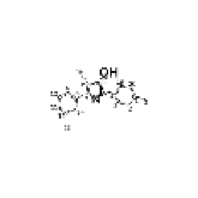 Cc1ccc(-n2nc(-c3cccc(C)c3)c(C)c2O)cc1